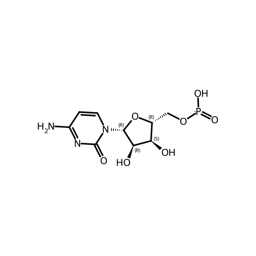 Nc1ccn([C@@H]2O[C@H](CO[P](=O)O)[C@@H](O)[C@H]2O)c(=O)n1